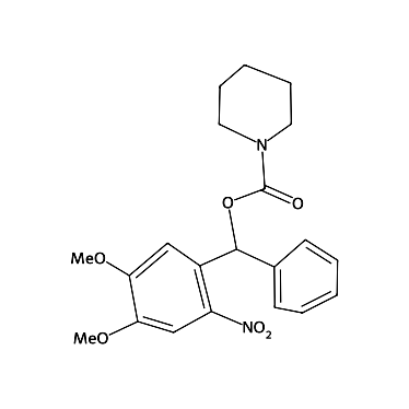 COc1cc(C(OC(=O)N2CCCCC2)c2ccccc2)c([N+](=O)[O-])cc1OC